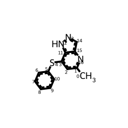 Cc1cc(Sc2ccccc2)c2[nH]ncc2n1